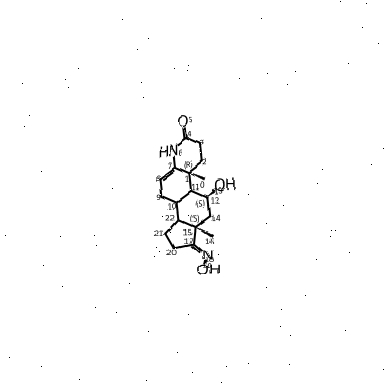 C[C@]12CCC(=O)NC1=CCC1C2[C@@H](O)C[C@]2(C)C(=NO)CCC12